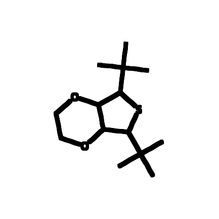 CC(C)(C)C1SC(C(C)(C)C)C2OCCOC21